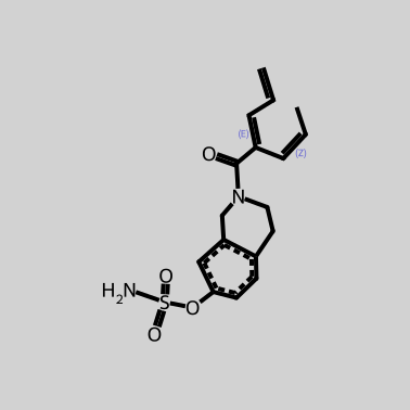 C=C/C=C(\C=C/C)C(=O)N1CCc2ccc(OS(N)(=O)=O)cc2C1